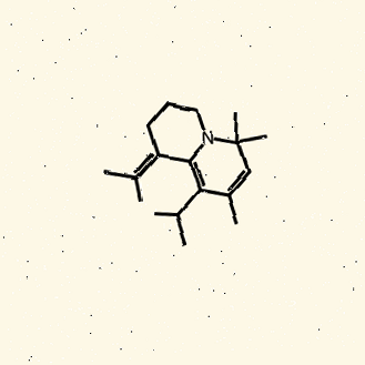 CC1=CC(C)(C)N2CCCC(=C(C)C)C2=C1C(C)C